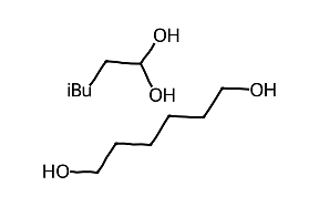 CCC(C)CC(O)O.OCCCCCCO